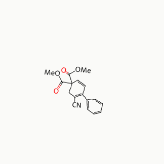 COC(=O)C1(C(=O)OC)C=CC(c2ccccc2)=C(C#N)C1